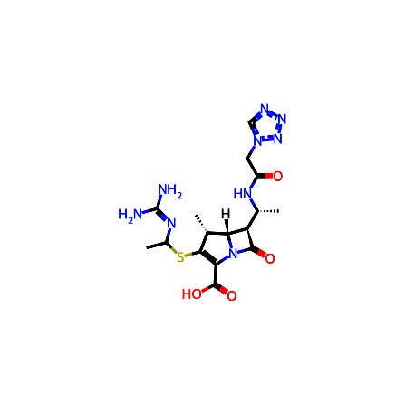 CC(N=C(N)N)SC1=C(C(=O)O)N2C(=O)[C@H]([C@@H](C)NC(=O)Cn3cnnn3)[C@H]2[C@H]1C